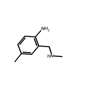 CNCc1cc(C)ccc1N